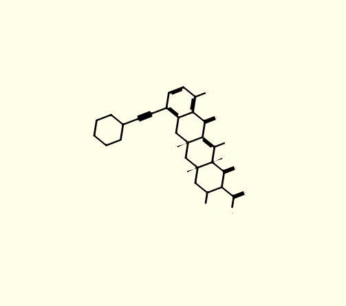 NC(=O)C1C(=O)[C@@]2(O)C(O)=C3C(=O)c4c(O)ccc(C#CC5CCCCC5)c4C[C@H]3C[C@H]2CC1O